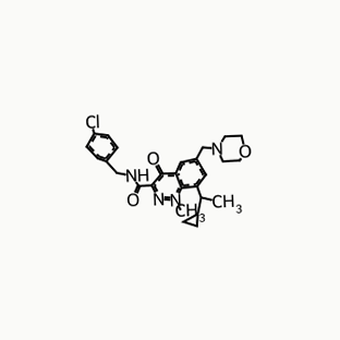 CC(c1cc(CN2CCOCC2)cc2c(=O)c(C(=O)NCc3ccc(Cl)cc3)nn(C)c12)C1CC1